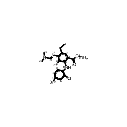 CCc1cc(C(=O)ON)c(Nc2ccc(Br)cc2Cl)c(F)c1N=CN(C)C